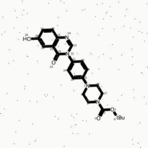 CC(C)(C)OC(=O)N1CCN(c2ccc(-n3cnc4ccc(O)cc4c3=O)cc2)CC1